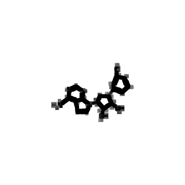 Nc1ncnc2c1ccn2[C@@H]1C[C@H](c2cccc(Cl)c2)[C@@H](O)[C@H]1O